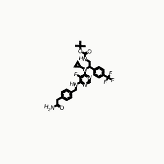 CC(C)(C)OC(=O)NCC(c1ccc(C(F)(F)F)cc1)N(c1ncnc(NCc2ccc(CC(N)=O)cc2)c1F)C1CC1